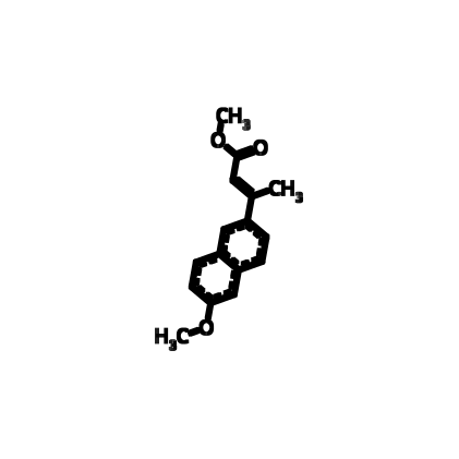 COC(=O)C=C(C)c1ccc2cc(OC)ccc2c1